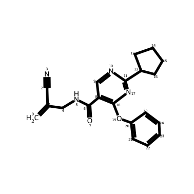 C=C(C#N)CNC(=O)c1cnc(C2CCCC2)nc1Oc1ccccc1